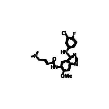 COc1cc2ncnc(Nc3ccc(F)c(Cl)c3)c2cc1NC(=O)/C=C/CN(C)C